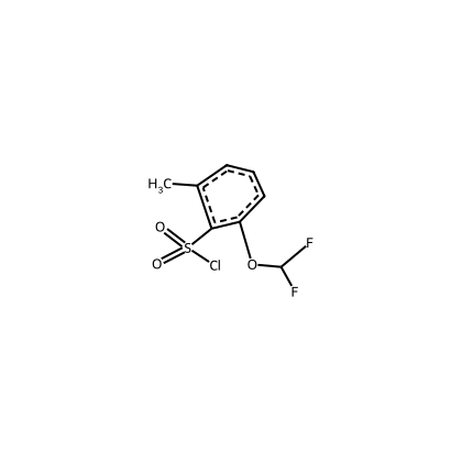 Cc1cccc(OC(F)F)c1S(=O)(=O)Cl